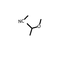 CC#N.COC(C)C